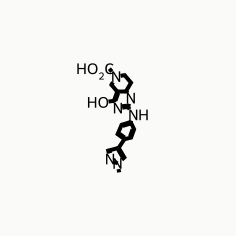 Cn1cc(-c2ccc(Nc3nc(O)c4c(n3)CCN(C(=O)O)C4)cc2)cn1